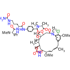 CN[C@H](C(=O)N[C@@H](CCCNC(N)=O)C(=O)Nc1ccc(C(=O)N(C)[C@@H](C)C(=O)O[C@H]2CC(=O)N(C)c3cc(cc(OC)c3Cl)C/C(C)=C/C=C/[C@@H](OC)[C@@]3(O)C[C@H](OC(=O)N3)[C@@H](C)[C@@H]3O[C@@]23C)cc1)C(C)C